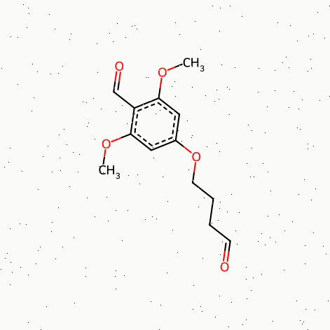 COc1cc(OCCCC=O)cc(OC)c1C=O